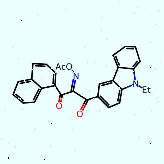 CCn1c2ccccc2c2cc(C(=O)C(=NOC(C)=O)C(=O)c3cccc4ccccc34)ccc21